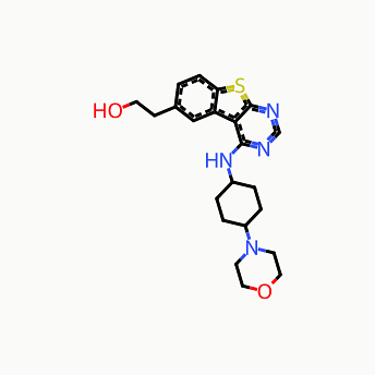 OCCc1ccc2sc3ncnc(NC4CCC(N5CCOCC5)CC4)c3c2c1